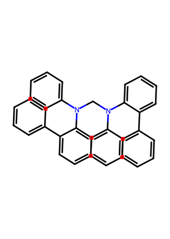 c1ccc(-c2ccccc2N(CN(c2ccccc2)c2ccccc2-c2ccccc2)c2ccccc2)cc1